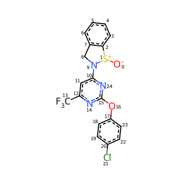 [O-][S+]1c2ccccc2CN1c1cc(C(F)(F)F)nc(Oc2ccc(Cl)cc2)n1